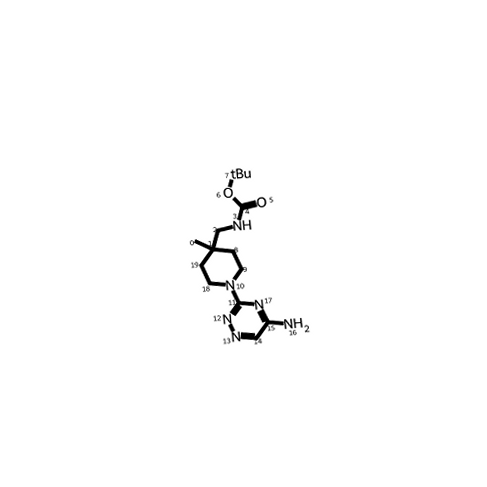 CC1(CNC(=O)OC(C)(C)C)CCN(c2nncc(N)n2)CC1